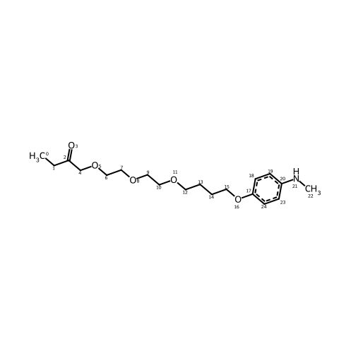 CCC(=O)COCCOCCOCCCCOc1ccc(NC)cc1